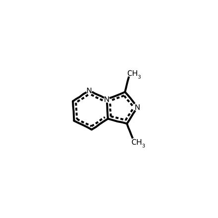 Cc1nc(C)n2ncccc12